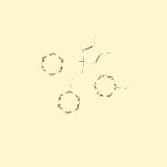 CC1=C(C)[C]([Ti+3])(C[SiH](c2ccccc2)c2ccccc2)C(c2cc(C(C)(C)C)cc(C(C)(C)C)c2)=C1C.[Cl-].[Cl-].[Cl-]